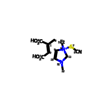 C/C(=C/C(=O)O)C(=O)O.CC[N+]1(SC#N)C=CN(C)C1